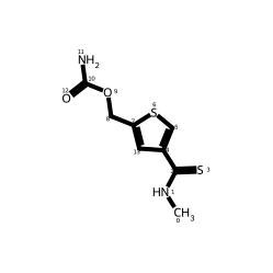 CNC(=S)c1csc(COC(N)=O)c1